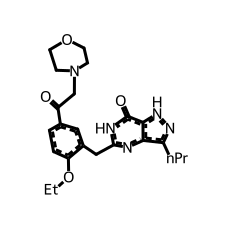 CCCc1n[nH]c2c(=O)[nH]c(Cc3cc(C(=O)CN4CCOCC4)ccc3OCC)nc12